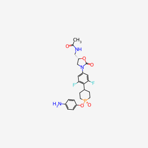 CC(=O)NC[C@H]1CN(c2cc(F)c(C3CCP(=O)(Oc4ccc(N)cc4)CC3)c(F)c2)C(=O)O1